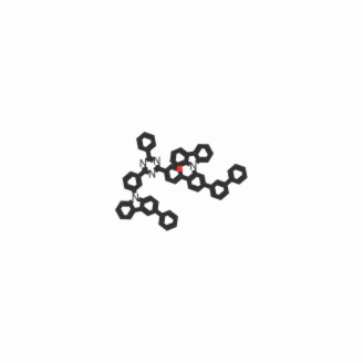 c1ccc(-c2cccc(-c3ccc(-c4ccc(-c5nc(-c6ccccc6)nc(-c6cccc(-n7c8ccccc8c8cc(-c9ccccc9)ccc87)c6)n5)cc4)c(-n4c5ccccc5c5ccccc54)c3)c2)cc1